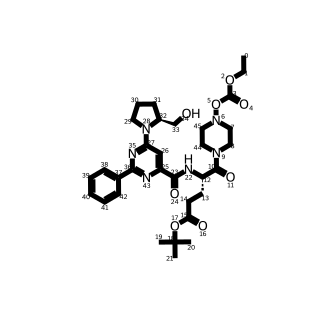 CCOC(=O)ON1CCN(C(=O)[C@H](CCC(=O)OC(C)(C)C)NC(=O)c2cc(N3CCC[C@H]3CO)nc(-c3ccccc3)n2)CC1